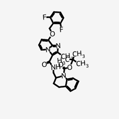 Cc1nc2c(OCc3c(F)cccc3F)cccn2c1C(=O)NCC1CCc2ccccc2N1C(=O)OC(C)(C)C